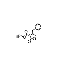 CCCOC(=O)N1C(=O)OC[C@@H]1Cc1ccccc1